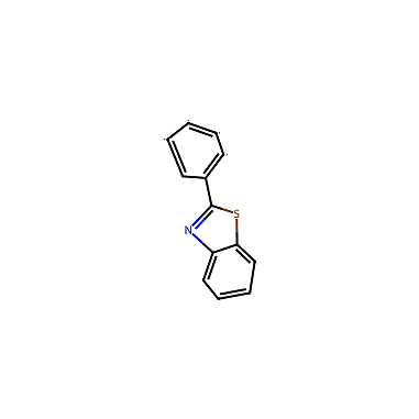 [c]1[c][c]c(-c2nc3ccccc3s2)c[c]1